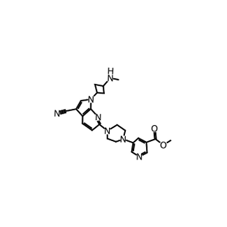 CNC1CC(n2cc(C#N)c3ccc(N4CCN(c5cncc(C(=O)OC)c5)CC4)nc32)C1